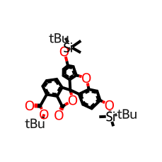 CC(C)(C)OC(=O)c1cccc2c1C(=O)OC21c2ccc(O[Si](C)(C)C(C)(C)C)cc2Oc2cc(O[Si](C)(C)C(C)(C)C)ccc21